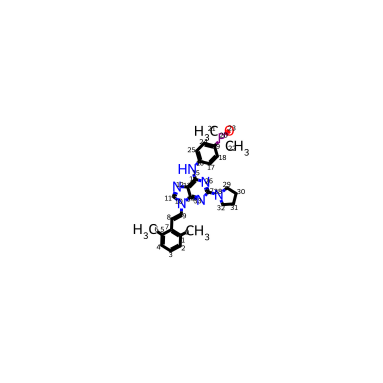 Cc1cccc(C)c1C=Cn1cnc2c(Nc3ccc(P(C)(C)=O)cc3)nc(N3CCCC3)nc21